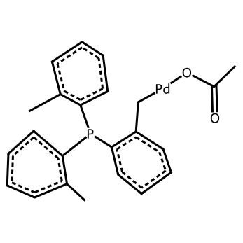 CC(=O)[O][Pd][CH2]c1ccccc1P(c1ccccc1C)c1ccccc1C